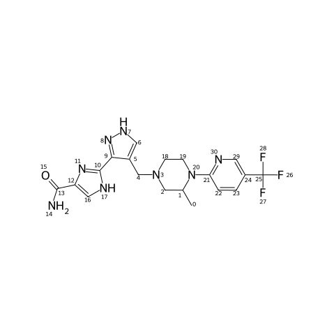 CC1CN(Cc2c[nH]nc2-c2nc(C(N)=O)c[nH]2)CCN1c1ccc(C(F)(F)F)cn1